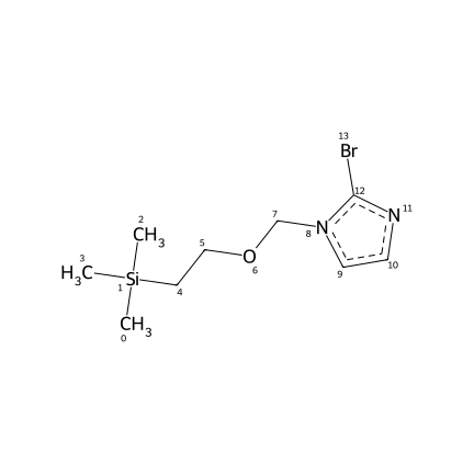 C[Si](C)(C)CCOCn1ccnc1Br